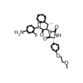 COCCOc1ccc([C@H]2NC(=O)N(C(C(=O)Nc3ccc(N)cc3F)[C@@H](C)c3ccccc3)C2=O)cc1